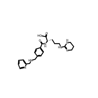 O=C(N[C@@H](CCCNC1=NCCCN1)C(=O)O)c1ccc(CNCc2ccccn2)cc1